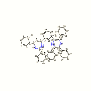 CC1C=CC=CC1c1cc(C2=CC(C)(c3nc(-c4ccccc4)c(-c4ccccc4)nc3-c3ccccc3)CC=C2)nc(-c2ccccc2)n1